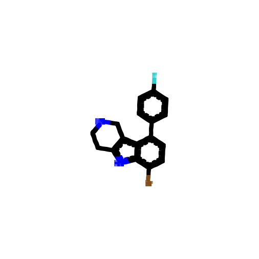 Fc1ccc(-c2ccc(Br)c3[nH]c4c(c23)CNCC4)cc1